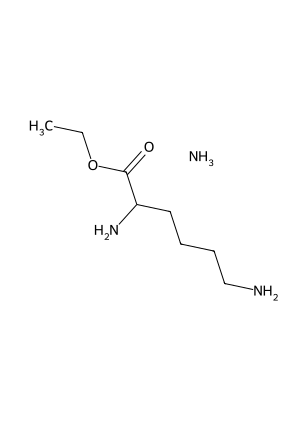 CCOC(=O)C(N)CCCCN.N